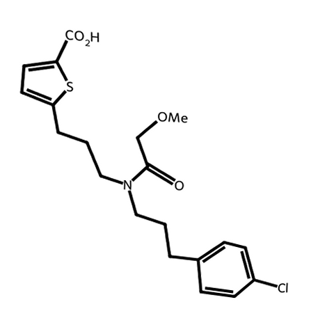 COCC(=O)N(CCCc1ccc(Cl)cc1)CCCc1ccc(C(=O)O)s1